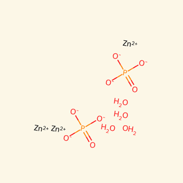 O.O.O.O.O=P([O-])([O-])[O-].O=P([O-])([O-])[O-].[Zn+2].[Zn+2].[Zn+2]